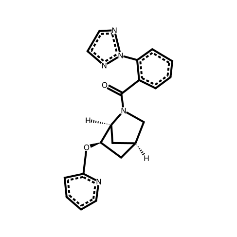 O=C(c1ccccc1-n1nccn1)N1C[C@H]2C[C@@H](Oc3ccccn3)[C@@H]1C2